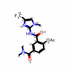 CC(=O)Oc1ccc(C(=O)N(C)C)cc1C(=O)Nc1nc(C(F)(F)F)cn1C